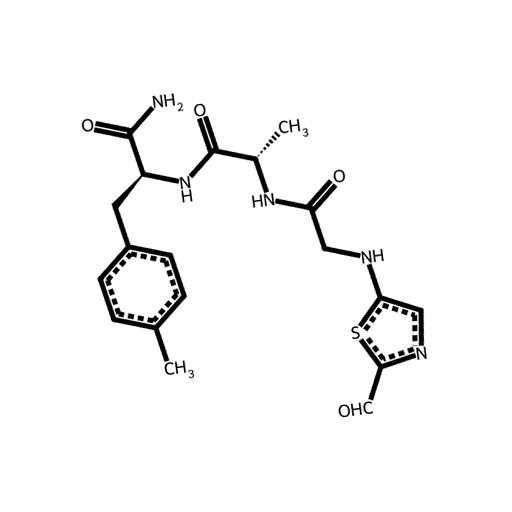 Cc1ccc(C[C@H](NC(=O)[C@H](C)NC(=O)CNc2cnc(C=O)s2)C(N)=O)cc1